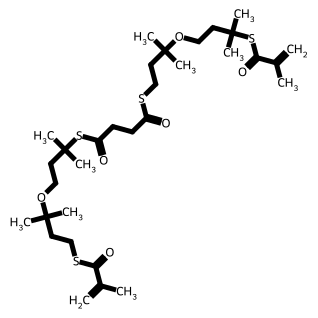 C=C(C)C(=O)SCCC(C)(C)OCCC(C)(C)SC(=O)CCC(=O)SCCC(C)(C)OCCC(C)(C)SC(=O)C(=C)C